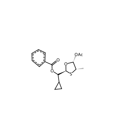 CC(=O)O[C@H]1O[C@H](C(OC(=O)c2ccccc2)C2CC2)S[C@H]1C